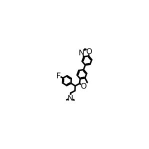 CN(C)CCC(c1ccc(F)cc1)C1OCc2cc(-c3ccc4ocnc4c3)ccc21